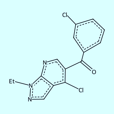 CCn1ncc2c(Cl)c(C(=O)c3cccc(Cl)c3)cnc21